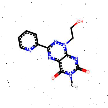 Cn1c(=O)nc2n(CCO)nc(-c3ccccn3)nc-2c1=O